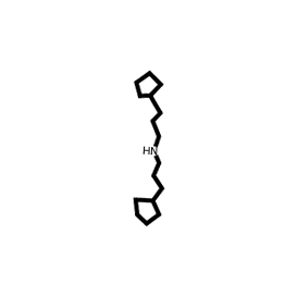 C1CCC(CCCNCCCC2CCCC2)C1